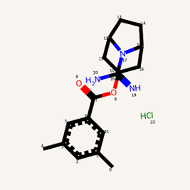 Cc1cc(C)cc(C(=O)OC2CC3CCC(C2)N3C(=N)N)c1.Cl